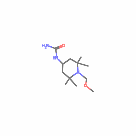 COCN1C(C)(C)CC(NC(N)=O)CC1(C)C